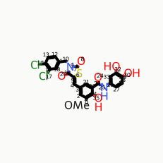 COc1cc(/C=C2\SC(=O)N(Cc3ccc(Cl)c(Cl)c3)C2=O)cc(C(=O)Nc2ccc(O)c(O)c2)c1O